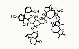 C=C[C@H]1[C@H](O[C@@H]2O[C@H](COC[C@]34CC[C@H]5/C(=C\C6=C(C)C7C8OC(=O)C(C)C8CCC8(C)OC78C6)C(=O)O[C@@H]5[C@H]5C(C)=CC[C@@]53O4)[C@@H](O)C(O)C2OC(=O)c2c(O)cc(O)cc2-c2cccc(O)c2)OC=C2C(=O)CCC[C@H]21